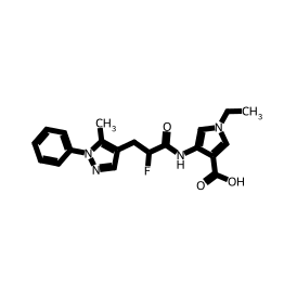 CCn1cc(NC(=O)C(F)Cc2cnn(-c3ccccc3)c2C)c(C(=O)O)c1